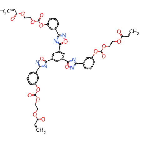 C=CC(=O)OCCOC(=O)Oc1cccc(-c2noc(-c3cc(-c4nc(-c5cccc(OC(=O)OCCOC(=O)C=C)c5)no4)cc(-c4nc(-c5cccc(OC(=O)OCCOC(=O)C=C)c5)no4)c3)n2)c1